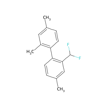 Cc1ccc(-c2ccc(C)cc2C(F)F)c(C)c1